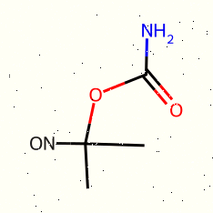 CC(C)(N=O)OC(N)=O